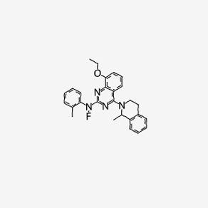 CCOc1cccc2c(N3CCc4ccccc4C3C)nc(N(F)c3ccccc3C)nc12